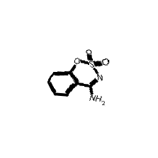 NC1=NS(=O)(=O)Oc2ccccc21